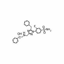 NS(=O)(=O)c1ccc(-n2nc(CNC[C@@H](O)c3ccccc3)nc2Cc2ccccc2)c(F)c1